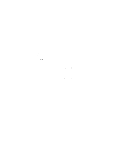 CCCCOc1ccc([C@H](CN2CCCC2)NC(=O)CCCCC(=O)c2ccc(OC)cc2)cc1